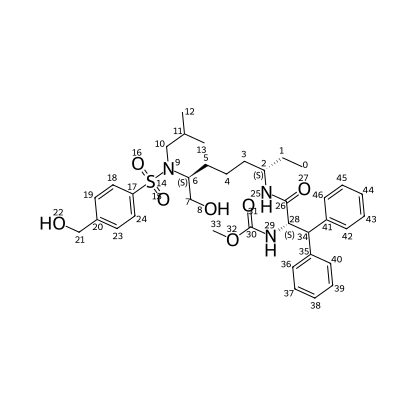 CC[C@@H](CCC[C@@H](CO)N(CC(C)C)S(=O)(=O)c1ccc(CO)cc1)NC(=O)[C@@H](NC(=O)OC)C(c1ccccc1)c1ccccc1